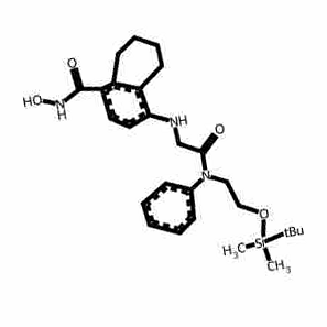 CC(C)(C)[Si](C)(C)OCCN(C(=O)CNc1ccc(C(=O)NO)c2c1CCCC2)c1ccccc1